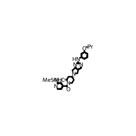 CSNc1cc(C(=O)N2CC[C@H](N3Cc4cnc(Nc5cccc(OC(C)C)c5)nc4C3)C[C@H]2C)ccn1